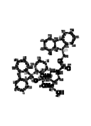 COC(OC)(OC(c1ccccc1)(c1ccccc1)c1ccccc1)C1CN(C(=O)OCC2c3ccccc3-c3ccccc32)CC1CO